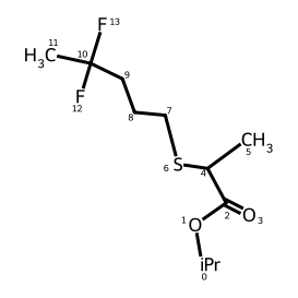 CC(C)OC(=O)C(C)SCCCC(C)(F)F